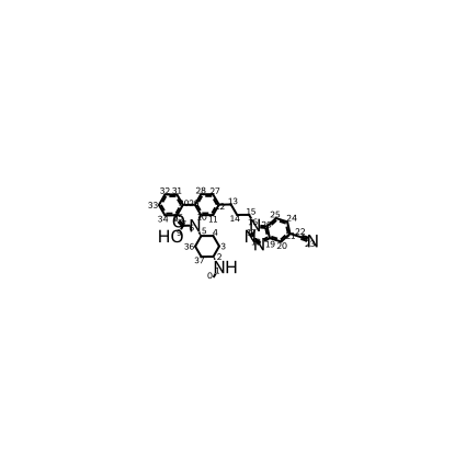 CN[C@H]1CC[C@H](N(C(=O)O)c2cc(CCCn3nnc4cc(C#N)ccc43)ccc2-c2ccccc2)CC1